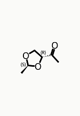 CC(=O)[C@H]1CO[C@H](C)O1